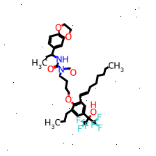 CCCCCC/C=C/c1cc(C(O)(C(F)(F)F)C(F)(F)F)cc(CCC)c1OCCCCN(C=O)C(=O)NC(CC)c1ccc2c(c1)OCCO2